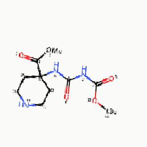 COC(=O)C1(NC(=O)NC(=O)OC(C)(C)C)CCNCC1